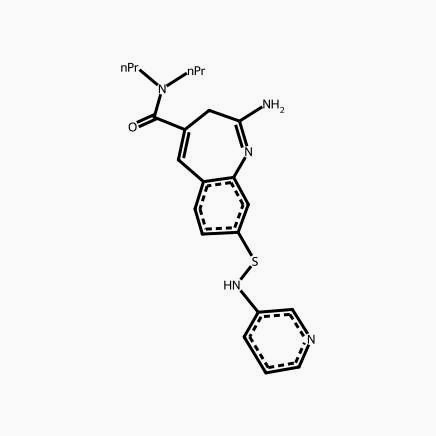 CCCN(CCC)C(=O)C1=Cc2ccc(SNc3cccnc3)cc2N=C(N)C1